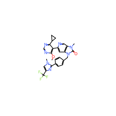 COc1ncnc(C2CC2)c1-c1cc2c(cn1)n(C)c(=O)n2Cc1ccc(-c2nc(C(F)(F)F)cn2C)cc1